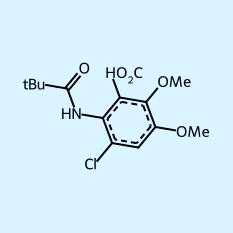 COc1cc(Cl)c(NC(=O)C(C)(C)C)c(C(=O)O)c1OC